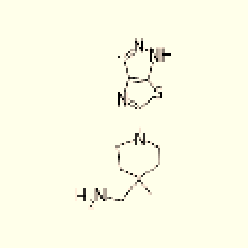 CC1(CN)CCN(c2nc3[c]n[nH]c3s2)CC1